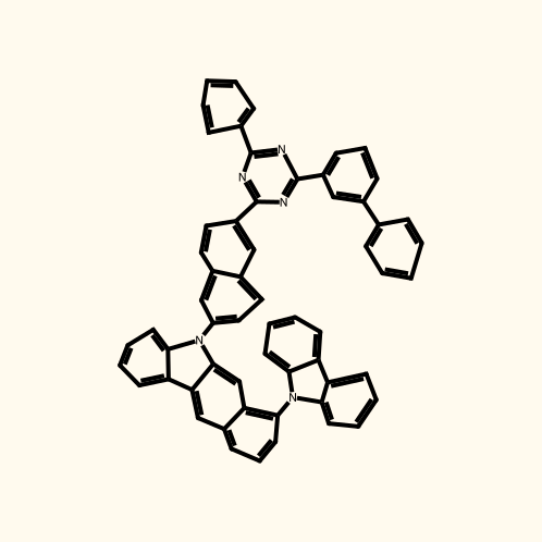 c1ccc(-c2cccc(-c3nc(-c4ccccc4)nc(-c4ccc5cc(-n6c7ccccc7c7cc8cccc(-n9c%10ccccc%10c%10ccccc%109)c8cc76)ccc5c4)n3)c2)cc1